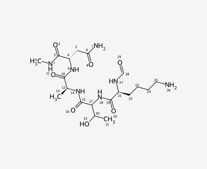 CNC(=O)[C@H](CC(N)=O)NC(=O)[C@H](C)NC(=O)C(NC(=O)[C@H](CCCCN)NC=O)C(C)O